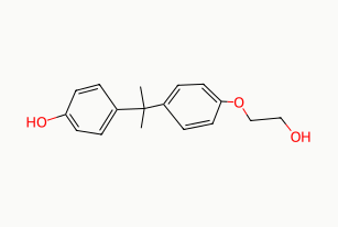 CC(C)(c1ccc(O)cc1)c1ccc(OCCO)cc1